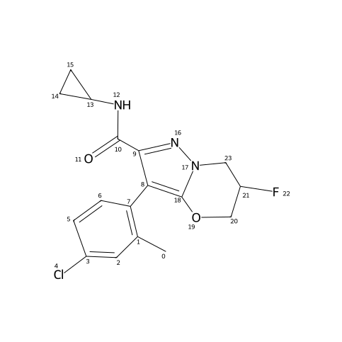 Cc1cc(Cl)ccc1-c1c(C(=O)NC2CC2)nn2c1OCC(F)C2